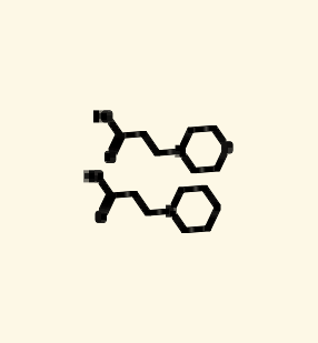 O=C(O)CCN1CCCCC1.O=C(O)CCN1CCOCC1